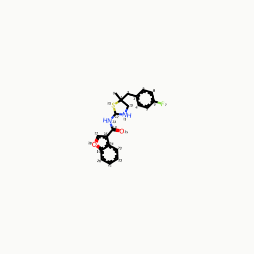 CC1(Cc2ccc(F)cc2)CNC(NC(=O)c2coc3ccccc23)S1